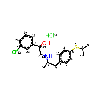 CC(Cc1ccc(SC(C)C)cc1)NCC(O)c1cccc(Cl)c1.Cl